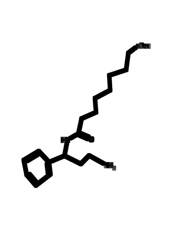 CCCCCCCCCCCCCCCCCC(=O)NC(CCN)c1ccccc1